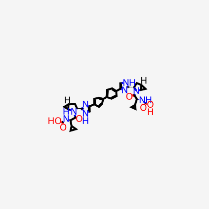 O=C(O)N[C@@H](C(=O)N1C2C[C@@H]2C[C@H]1c1nc(-c2ccc(-c3ccc(-c4c[nH]c([C@@H]5C[C@H]6CC6N5C(=O)[C@H](NC(=O)O)C5CC5)n4)cc3)cc2)c[nH]1)C1CC1